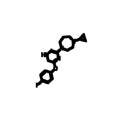 Fc1ccc(OC2=NC(N3CCCN(C4CC4)CC3)=[C]NC2)cc1